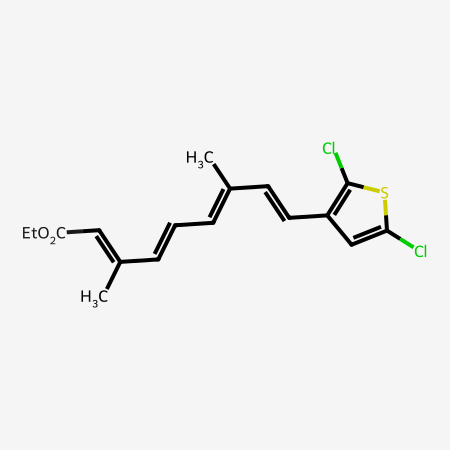 CCOC(=O)C=C(C)C=CC=C(C)C=Cc1cc(Cl)sc1Cl